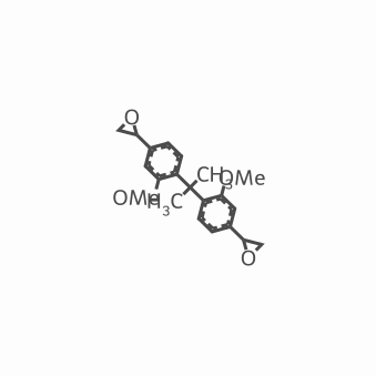 COc1cc(C2CO2)ccc1C(C)(C)c1ccc(C2CO2)cc1OC